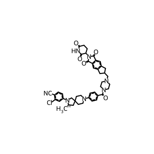 C[C@H]1CC2(CCN(c3ccc(C(=O)N4CCN(CC5Cc6cc7c(cc6C5)C(=O)N(C5CCC(=O)NC5=O)C7=O)CC4)cc3)CC2)CN1c1ccc(C#N)c(Cl)c1